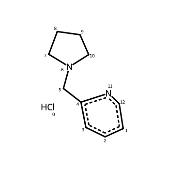 Cl.c1ccc(CN2CCCC2)nc1